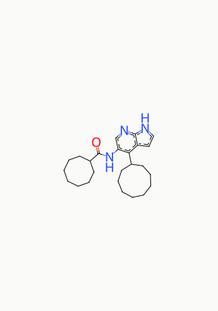 O=C(Nc1cnc2[nH]ccc2c1C1CCCCCCCC1)C1CCCCCCC1